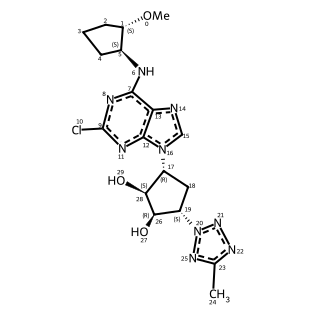 CO[C@H]1CCC[C@@H]1Nc1nc(Cl)nc2c1ncn2[C@@H]1C[C@H](n2nnc(C)n2)[C@@H](O)[C@H]1O